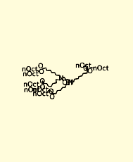 CCCCCCCCC(CCCCCCCC)OC(=O)CCCCCCCN(CCCCCCCC(=O)OC(CCCCCCCC)CCCCCCCC)CC(O)CN(CCCCCCCC(=O)OC(CCCCCCCC)CCCCCCCC)CCCCCCCC(=O)OC(CCCCCCCC)CCCCCCCC